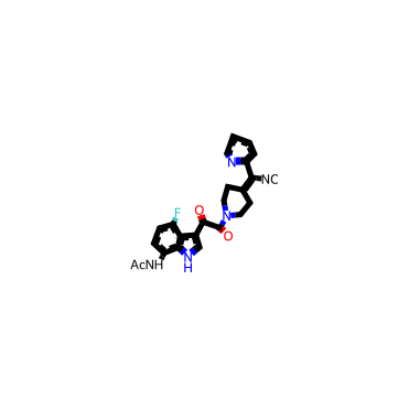 [C-]#[N+]C(=C1CCN(C(=O)C(=O)c2c[nH]c3c(NC(C)=O)ccc(F)c23)CC1)c1ccccn1